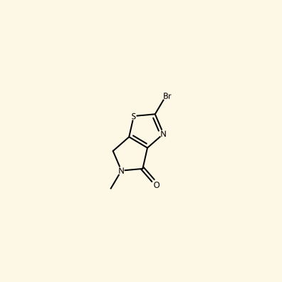 CN1Cc2sc(Br)nc2C1=O